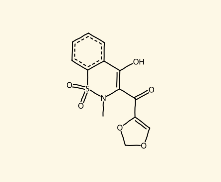 CN1C(C(=O)C2=COCO2)=C(O)c2ccccc2S1(=O)=O